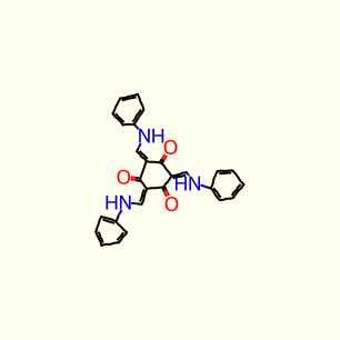 O=C1C(=CNc2ccccc2)C(=O)C(=CNc2ccccc2)C(=O)C1=CNc1ccccc1